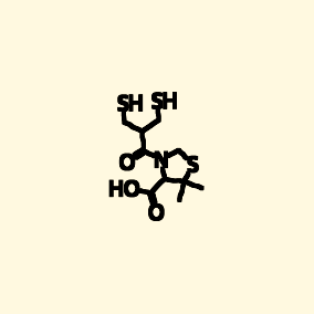 CC1(C)SCN(C(=O)C(CS)CS)C1C(=O)O